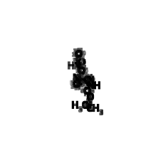 CN(C)CCOc1cccc(Nc2nccc(-c3c(-c4cccc(NC(=O)Cc5ccccc5)c4)nc4ccccn34)n2)c1